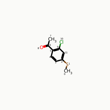 CSc1ccc(C(C)=O)c(Cl)c1